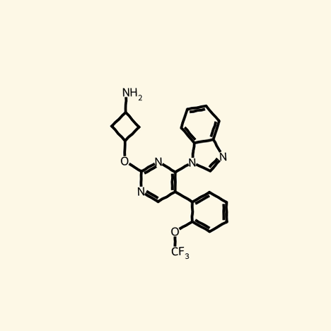 NC1CC(Oc2ncc(-c3ccccc3OC(F)(F)F)c(-n3cnc4ccccc43)n2)C1